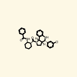 O=C(N[C@@H]1CCCC[C@@H]1C(=O)N1CC[C@H]2[C@@H](c3cccc(Cl)c3)Nc3ccccc3[C@H]21)c1ccccc1